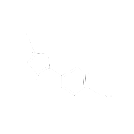 COc1ccc(-c2ncc(C(C)(C)C)s2)cc1